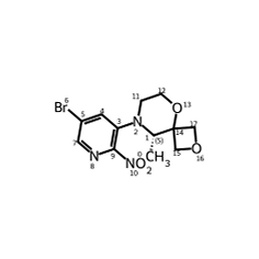 C[C@@H]1N(c2cc(Br)cnc2[N+](=O)[O-])CCOC12COC2